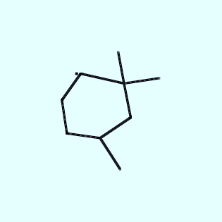 CC1CC[CH]C(C)(C)C1